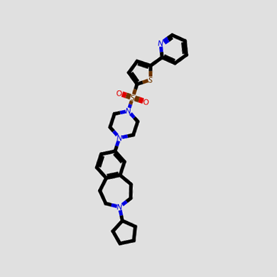 O=S(=O)(c1ccc(-c2ccccn2)s1)N1CCN(c2ccc3c(c2)CCN(C2CCCC2)CC3)CC1